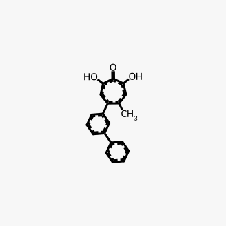 Cc1cc(O)c(=O)c(O)cc1-c1cccc(-c2ccccc2)c1